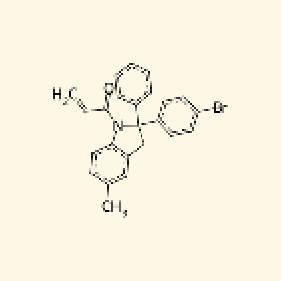 C=CC(=O)N1c2ccc(C)cc2CC1(c1ccccc1)c1ccc(Br)cc1